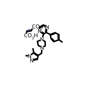 Cc1ccc(-c2nccnc2N2CCN(Cc3cnn(C)c3C)CC2)cc1.O=C(O)/C=C/C(=O)O